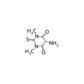 CN1C(=O)C(N)C(=O)N(C)C1=S